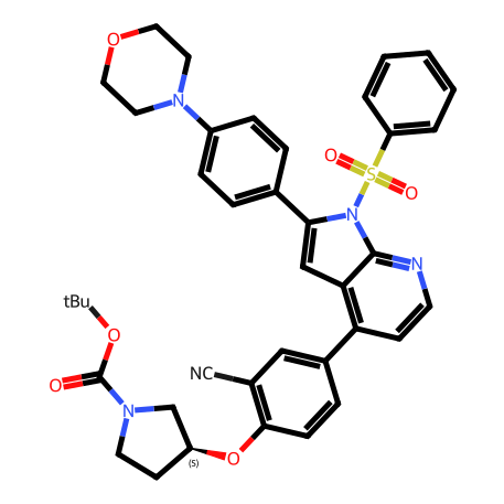 CC(C)(C)OC(=O)N1CC[C@H](Oc2ccc(-c3ccnc4c3cc(-c3ccc(N5CCOCC5)cc3)n4S(=O)(=O)c3ccccc3)cc2C#N)C1